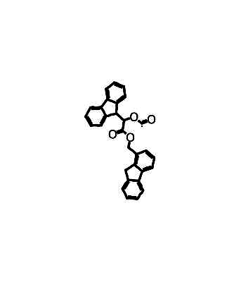 O=[C]OC(C(=O)OCc1cccc2c1Cc1ccccc1-2)C1c2ccccc2-c2ccccc21